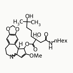 CCCCCCNC(=O)C[C@](O)(CCCC(C)(C)O)C(=O)OC1C(OC)=C[C@]23CCCN2CCc2cc4c(cc2[C@H]13)OCO4